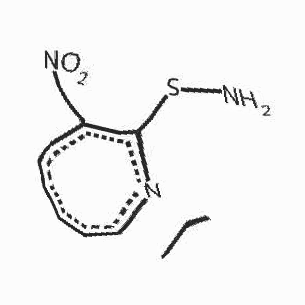 CC.NSc1ncccc1[N+](=O)[O-]